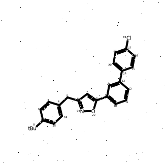 CC(C)(C)c1ccc(Cc2cc(-c3cccc(-c4ccc(Cl)cc4)c3)on2)cc1